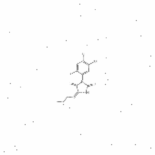 CCCC=C1NC(=O)N(c2cc(O)c(Cl)cc2F)C1=O